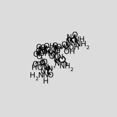 CCC1=C(N)c2ncn([C@@H]3OC(COP(=O)(O)OP(=O)(O)OP(=O)(O)OC[C@H]4O[C@@H](n5c[n+](C)c6c(=O)[nH]c(N)nc65)[C@H](O)[C@@H]4COC)[C@@H](OP(=O)([O-])OC[C@H]4O[C@@H](n5cnc6c(=O)[nH]c(N)nc65)[C@H](O)[C@@H]4O)[C@H]3F)c2N=CC1